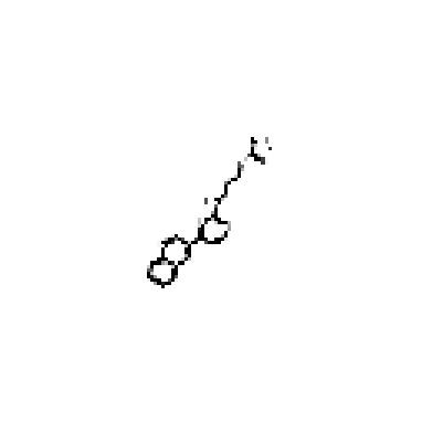 NC(=O)OCCCNc1nccc(-c2cnc3ccccc3c2)n1